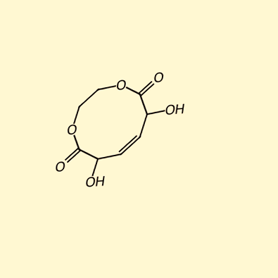 O=C1OCCOC(=O)C(O)C=CC1O